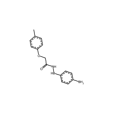 Bc1ccc(BNC(=O)COc2ccc(C)cc2)cc1